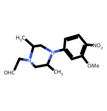 COc1cc(N2CC(C)N(CC=O)CC2C)ccc1[N+](=O)[O-]